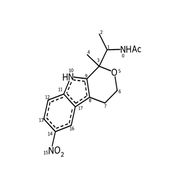 CC(=O)NC(C)C1(C)OCCc2c1[nH]c1ccc([N+](=O)[O-])cc21